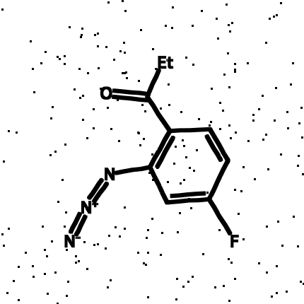 CCC(=O)c1ccc(F)cc1N=[N+]=[N-]